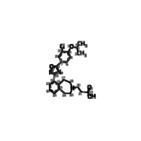 CC(C)Oc1ccc(-c2nc(-c3cccc4c3CCN(CCC(=O)O)CC4)no2)cc1Cl